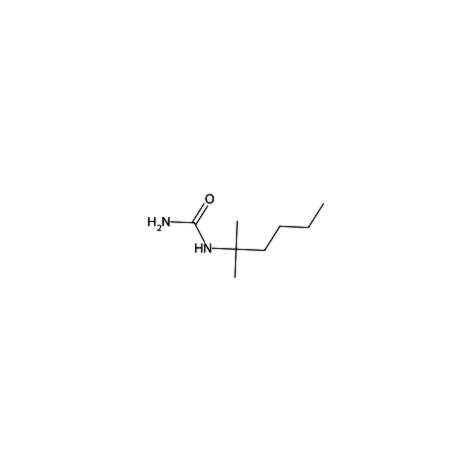 CCCCC(C)(C)NC(N)=O